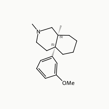 COc1cccc([C@@]23CCCC[C@]2(C)CN(C)CC3)c1